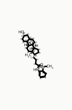 CNc1ccccc1NC(=O)CCC[C@H]1CC[C@H]2[C@@H]3CC=C4C[C@@H](O)CC[C@]4(C)[C@H]3CC[C@]12C